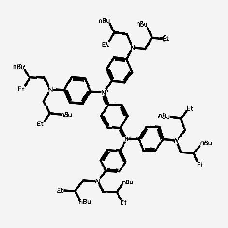 CCCCC(CC)CN(CC(CC)CCCC)c1ccc([N+](=C2C=CC(=[N+](c3ccc(N(CC(CC)CCCC)CC(CC)CCCC)cc3)c3ccc(N(CC(CC)CCCC)CC(CC)CCCC)cc3)C=C2)c2ccc(N(CC(CC)CCCC)CC(CC)CCCC)cc2)cc1